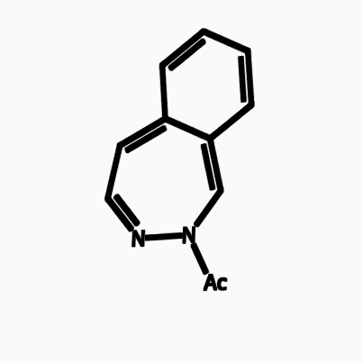 CC(=O)N1C=c2ccccc2=CC=N1